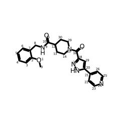 COc1ccccc1CNC(=O)C1CCN(C(=O)c2cc(-c3ccncc3)[nH]n2)CC1